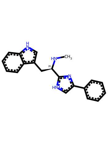 CN[C@H](Cc1c[nH]c2ccccc12)c1nc(-c2ccccc2)c[nH]1